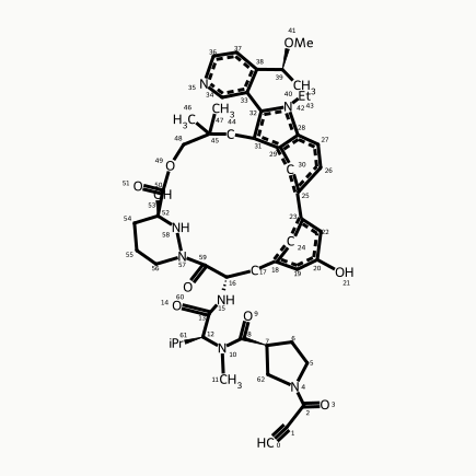 C#CC(=O)N1CC[C@H](C(=O)N(C)[C@H](C(=O)N[C@H]2Cc3cc(O)cc(c3)-c3ccc4c(c3)c(c(-c3cnccc3[C@H](C)OC)n4CC)CC(C)(C)COC(=O)[C@@]3(O)CCCN(N3)C2=O)C(C)C)C1